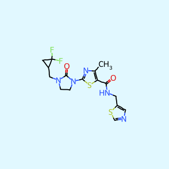 Cc1nc(N2CCN(CC3CC3(F)F)C2=O)sc1C(=O)NCc1cncs1